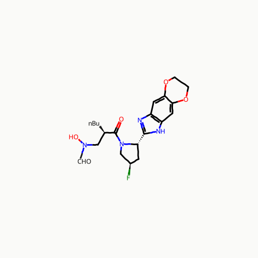 CCCC[C@H](CN(O)C=O)C(=O)N1C[C@H](F)C[C@H]1c1nc2cc3c(cc2[nH]1)OCCO3